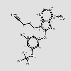 C#CCCCn1c(Sc2cc(Br)cc(OC(F)(F)F)c2)nc2c(N)ncnc21